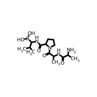 CC(N)C(=O)NC(C)C(=O)N1CCCC1C(=O)NC(B(O)O)C(C)C